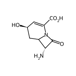 N[C@H]1C(=O)N2C(C(=O)O)=C[C@H](O)CC12